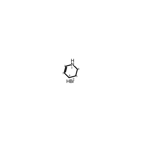 Br.C1=CNCCC1